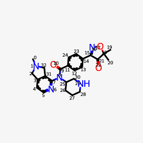 CN1Cc2ccnc(N(C(=O)c3ccc(C4=NOC(C)(C)C4=O)cc3)C3CCCNC3)c2C1